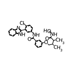 CC(COc1cccc(C(=O)Nc2ccc(Cl)c(-c3nc4ccccc4[nH]3)c2)c1)C(C)C(=O)NO